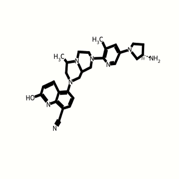 Cc1cc(N2CC[C@H](N)C2)cnc1N1CCN2C(C)CN(c3ccc(C#N)c4nc(O)ccc34)CC2C1